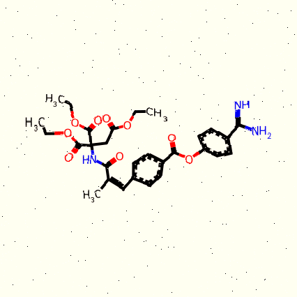 CCOC(=O)CC(NC(=O)C(C)=Cc1ccc(C(=O)Oc2ccc(C(=N)N)cc2)cc1)(C(=O)OCC)C(=O)OCC